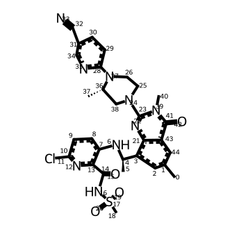 Cc1cc([C@@H](C)Nc2ccc(Cl)nc2C(=O)NS(C)(=O)=O)c2nc(N3CCN(c4ccc(C#N)cn4)[C@@H](C)C3)n(C)c(=O)c2c1